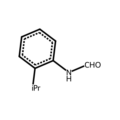 CC(C)c1ccccc1NC=O